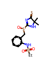 CCS(=O)(=O)Nc1ccccc1C[S+]([O-])C1=NC(=S)C(C)(C)N1